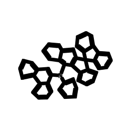 c1ccc(N(c2c3c(cc4ccccc24)C2(c4ccccc4-c4ccccc42)c2ccccc2-3)c2cc3ccccc3c3ccccc23)cc1